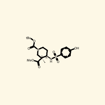 COC(=O)[C@@]1(C)CN(C(=O)OC(C)(C)C)CC[C@H]1NS(=O)(=O)c1ccc(O)cc1